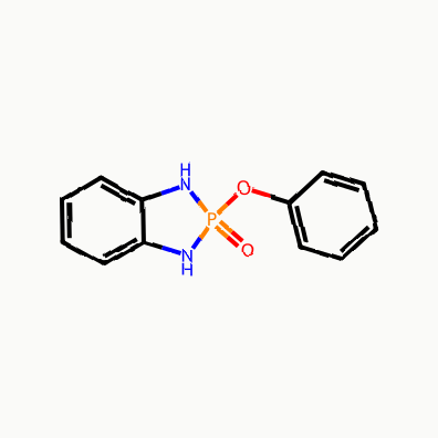 O=P1(Oc2ccccc2)Nc2ccccc2N1